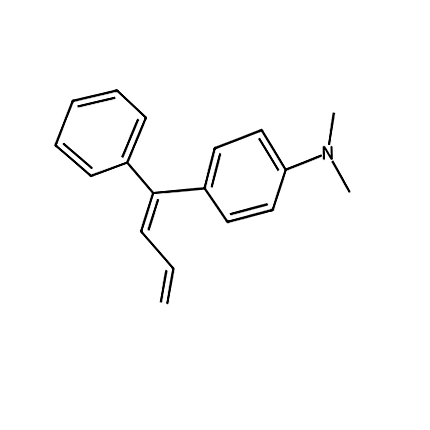 C=CC=C(c1ccccc1)c1ccc(N(C)C)cc1